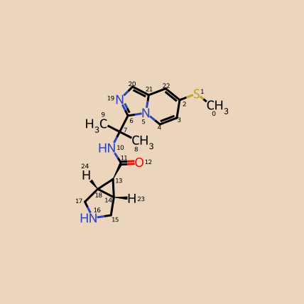 CSc1ccn2c(C(C)(C)NC(=O)[C@H]3[C@@H]4CNC[C@@H]43)ncc2c1